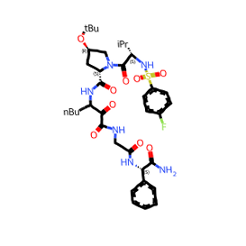 CCCCC(NC(=O)[C@@H]1C[C@@H](OC(C)(C)C)CN1C(=O)[C@@H](NS(=O)(=O)c1ccc(F)cc1)C(C)C)C(=O)C(=O)NCC(=O)N[C@H](C(N)=O)c1ccccc1